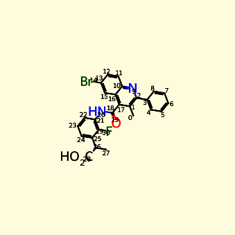 Cc1c(-c2ccccc2)nc2ccc(Br)cc2c1C(=O)Nc1cccc(C(C)C(=O)O)c1F